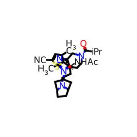 CC(=O)N[C@@H](CCN1C2CCC1CC(n1c(C)nc3c1CCN(C(=O)C(C)C)C3)C2)C1SC(C#N)=CC1C